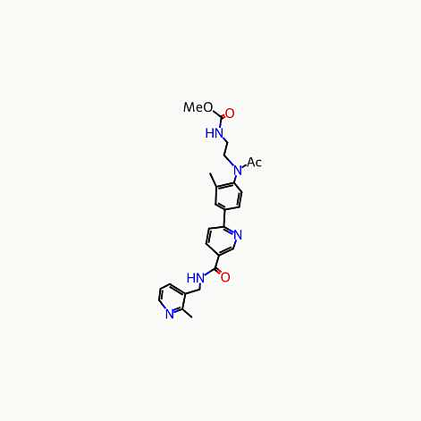 COC(=O)NCCN(C(C)=O)c1ccc(-c2ccc(C(=O)NCc3cccnc3C)cn2)cc1C